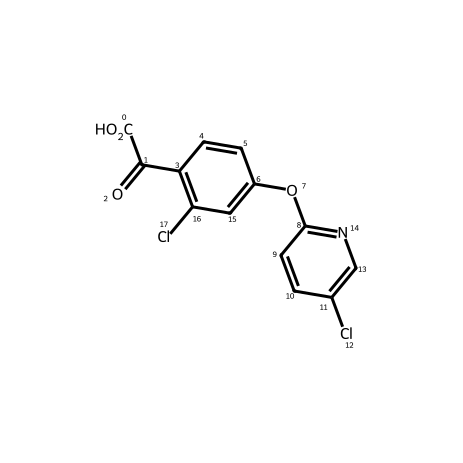 O=C(O)C(=O)c1ccc(Oc2ccc(Cl)cn2)cc1Cl